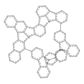 c1ccc(-n2c3ccccc3c3cc(-c4cccc5c6cccc7c8c9c%10cc%11ccccc%11c%11c%12cc%13ccccc%13c(-c%13ccc%14c(c%13)c%13ccccc%13n%14-c%13ccccc%13)c%12n(c9ccc8n(c45)c67)c%10%11)ccc32)cc1